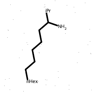 [CH2]C(C)C(N)CCCCCCCCCCC